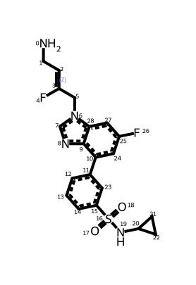 NC/C=C(\F)Cn1cnc2c(-c3cccc(S(=O)(=O)NC4CC4)c3)cc(F)cc21